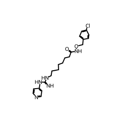 N=C(NCCCCCCCC(=O)NOCc1ccc(Cl)cc1)Nc1ccncc1